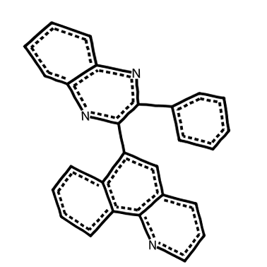 c1ccc(-c2nc3ccccc3nc2-c2cc3cccnc3c3ccccc23)cc1